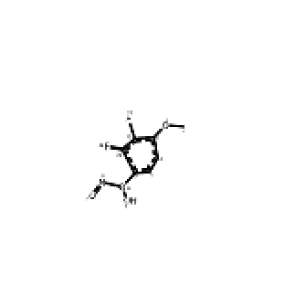 COc1ccc(B(O)N=O)c(F)c1F